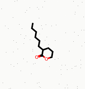 CCCCCC[C]1CCCOC1=O